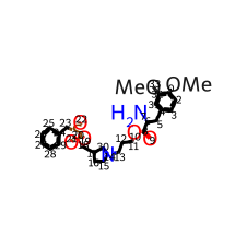 COc1ccc(C[C@H](N)C(=O)OCCCN2CCC(COS(=O)(=O)Cc3ccccc3)C2)cc1OC